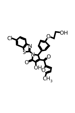 Cc1ccc(C(=O)C2=C(O)C(=O)N(c3nc4ccc(Cl)cc4s3)C2c2ccc(OCCO)cc2)o1